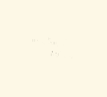 CC#C[C@]1(O)CC[C@H]2[C@@H]3OCC4=CC(=O)CCC4=C3C(c3ccccc3)C[C@@]21C